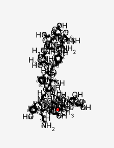 CC(C)[C@H](N)C(=O)N[C@@H](CS)C(=O)N[C@@H](CC(=O)O)C(=O)N[C@@H](CC(=O)O)C(=O)N[C@@H](C)C(=O)N[C@@H](C)C(=O)N[C@H](C(=O)N[C@@H](Cc1ccc(O)cc1)C(=O)N[C@@H](Cc1ccccc1)C(=O)N[C@@H](CS)C(=O)N[C@@H](C)C(=O)NCC(=O)N[C@@H](Cc1ccc(O)cc1)C(=O)N[C@@H](CCCCN)C(=O)N[C@@H](CC(=O)O)C(=O)N[C@@H](C)C(=O)N[C@@H](C)C(=O)N[C@H](C(=O)N[C@@H](CC(=O)O)C(=O)NCC(=O)O)[C@@H](C)O)[C@@H](C)O